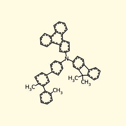 Cc1ccccc1-c1cc(-c2ccc(N(c3ccc4c(c3)C(C)(C)c3ccccc3-4)c3ccc4c5ccccc5c5ccccc5c4c3)cc2)ccc1C